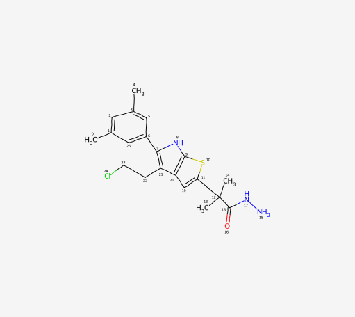 Cc1cc(C)cc(-c2[nH]c3sc(C(C)(C)C(=O)NN)cc3c2CCCl)c1